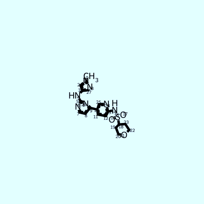 Cn1cc(Nc2nccc(-c3ccc(NS(=O)(=O)C4CCOCC4)nc3)n2)cn1